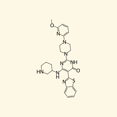 COc1cccc(N2CCN(c3nc(NC4CCCNC4)c(-c4nc5ccccc5s4)c(=O)[nH]3)CC2)n1